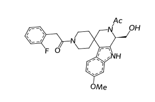 COc1ccc2c3c([nH]c2c1)[C@H](CO)N(C(C)=O)CC31CCN(C(=O)Cc2ccccc2F)CC1